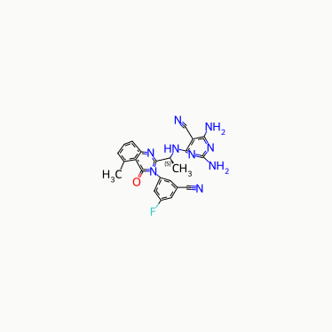 Cc1cccc2nc([C@H](C)Nc3nc(N)nc(N)c3C#N)n(-c3cc(F)cc(C#N)c3)c(=O)c12